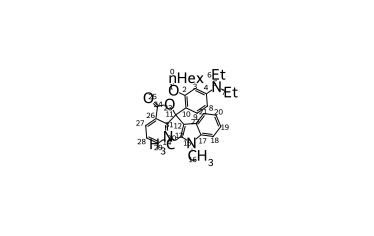 CCCCCCOc1cc(N(CC)CC)ccc1C1(c2c(C)n(C)c3ccccc23)OC(=O)c2cccnc21